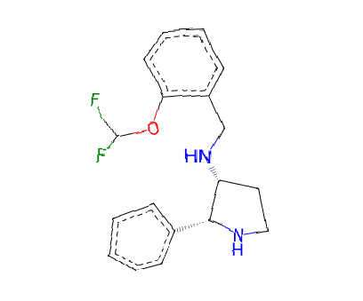 FC(F)Oc1ccccc1CN[C@@H]1CCN[C@@H]1c1ccccc1